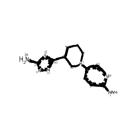 CNc1ccc(N2CCCC(c3nnc(N)s3)C2)cn1